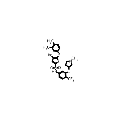 Cc1ccc(Sc2sc(S(=O)(=O)Nc3ccc(C(F)(F)F)c(OC4CCN(C)C4)c3)cc2Br)cc1C